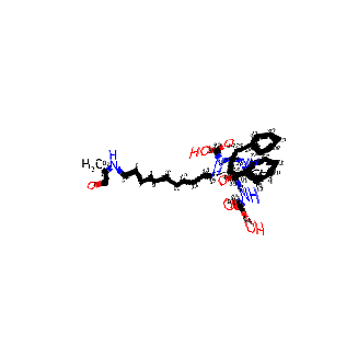 CC(C=O)NCCCCCCCCCCC[C@@H](Cc1ccccc1)C(Cc1ccccc1)(NC(=O)O)N[C@@H](C)C(=O)NC(=O)O